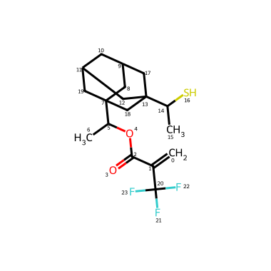 C=C(C(=O)OC(C)C12CC3CC(CC(C(C)S)(C3)C1)C2)C(F)(F)F